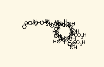 C[C@@H](O)[C@@H]1NC(=O)[C@@H](N(CC2CCN(c3nnc(-c4ccc(-c5cnc(N6CCC(OC7CCCCC7)CC6)nc5)cc4)s3)CC2)C(=O)OC(C)(C)C)C[C@@H](O)CNC(=O)[C@@H]2[C@@H](O)[C@@H](C)CN2C(=O)[C@H]([C@H](O)CC(=O)O)NC(=O)[C@H]([C@H](O)Cc2ccc(O)c(OS(=O)(=O)O)c2)NC(=O)[C@@H]2C[C@@H](O)CN2C1=O